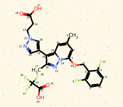 Cc1cc(OCc2c(F)cccc2F)n2nc(C)c(-c3cnn(CCC(=O)O)c3)c2c1.O=C(O)C(F)(F)F